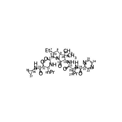 CCCC(NC(=O)[C@@H]1[C@@H](CC)CC2N1C(=O)C(NC(=O)[C@@H](NC(=O)c1cnccn1)C(C)C)C2(C)C)C(=O)C(=O)NC1CC1